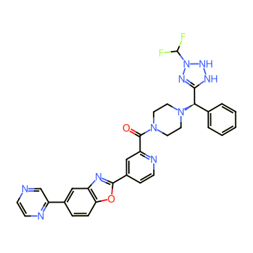 O=C(c1cc(-c2nc3cc(-c4cnccn4)ccc3o2)ccn1)N1CCN([C@@H](C2=NN(C(F)F)NN2)c2ccccc2)CC1